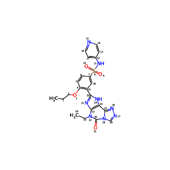 CCCOc1ccc(S(=O)(=O)Nc2ccncc2)cc1-c1nc2c([nH]1)c1nncn1c(=O)n2CC